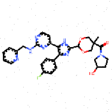 CC1(C(=O)N2CCC(O)C2)COC(c2nc(-c3ccc(F)cc3)c(-c3ccnc(NCc4ccccn4)n3)[nH]2)OC1